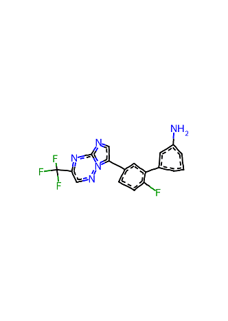 Nc1cccc(-c2cc(-c3cnc4nc(C(F)(F)F)cnn34)ccc2F)c1